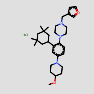 COC1CCN(c2ccc(N3CCN(Cc4ccoc4)CC3)c(C3CC(C)(C)CC(C)(C)C3)c2)CC1.Cl